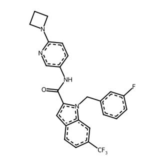 O=C(Nc1ccc(N2CCC2)nc1)c1cc2ccc(C(F)(F)F)cc2n1Cc1cccc(F)c1